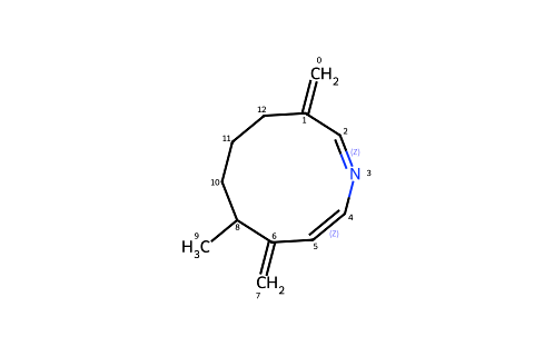 C=C1/C=N\C=C/C(=C)C(C)CCC1